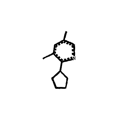 Cc1cnc(C2CCCC2)c(C)c1